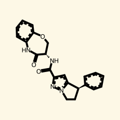 O=C(N[C@H]1COc2ccccc2NC1=O)c1cc2n(n1)CC[C@@H]2c1ccccc1